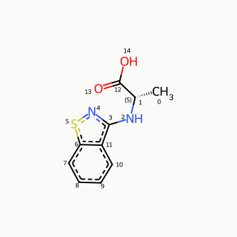 C[C@H](Nc1nsc2ccccc12)C(=O)O